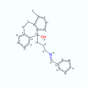 Cc1cccc2c1CCc1ccccc1C2(O)CCCN=Cc1ccccc1